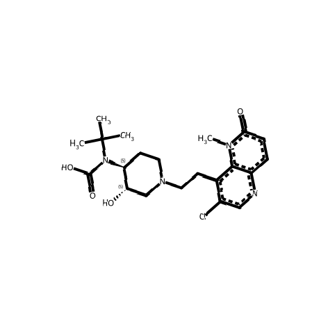 Cn1c(=O)ccc2ncc(Cl)c(CCN3CC[C@H](N(C(=O)O)C(C)(C)C)[C@@H](O)C3)c21